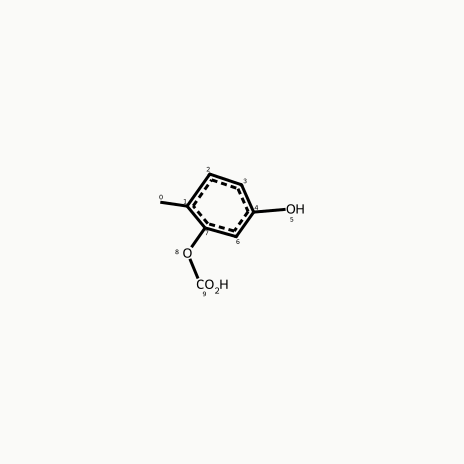 Cc1ccc(O)cc1OC(=O)O